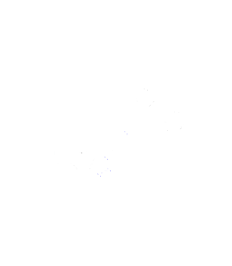 FC(F)(F)c1ccc2c(c1)nnn2C1CCN(CCC(c2ccccc2)c2ccccc2)CC1